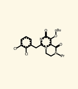 CCCCOc1c2n(c(Cc3cccc(Cl)c3Cl)nc1=O)CCN(C(C)C)C2=O